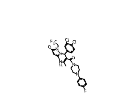 CC1=C(C(=O)N2CCN(c3ccc(F)cc3)CC2)C(c2ccc(Cl)c(Cl)c2)n2c(cc(=O)n2CC(F)(F)F)N1